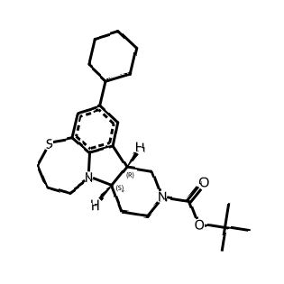 CC(C)(C)OC(=O)N1CC[C@H]2[C@@H](C1)c1cc(C3CCCCC3)cc3c1N2CCCS3